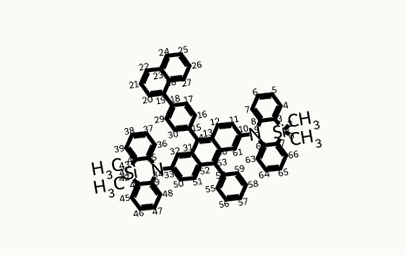 C[Si]1(C)c2ccccc2N(c2ccc3c(-c4ccc(-c5cccc6ccccc56)cc4)c4cc(N5c6ccccc6[Si](C)(C)c6ccccc65)ccc4c(-c4ccccc4)c3c2)c2ccccc21